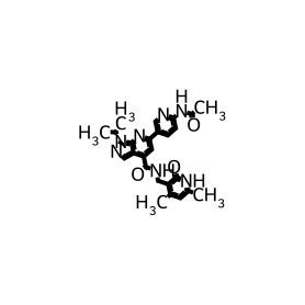 CC(=O)Nc1ccc(-c2cc(C(=O)NCc3c(C)cc(C)[nH]c3=O)c3cnn(C(C)C)c3n2)cn1